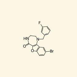 O=C1NCCN(Cc2cccc(F)c2)c2c1oc1ccc(Br)cc21